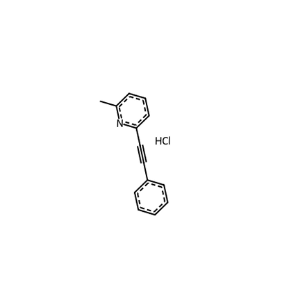 Cc1cccc(C#Cc2ccccc2)n1.Cl